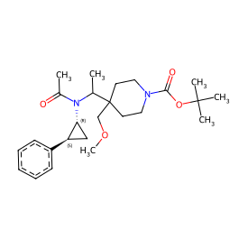 COCC1(C(C)N(C(C)=O)[C@@H]2C[C@H]2c2ccccc2)CCN(C(=O)OC(C)(C)C)CC1